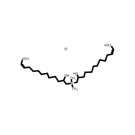 CCCCCCCC/C=C\CCCCCCCCC(O)C[N+](C)(C)CC(O)CCCCCCCC/C=C\CCCCCCCC.[Cl-]